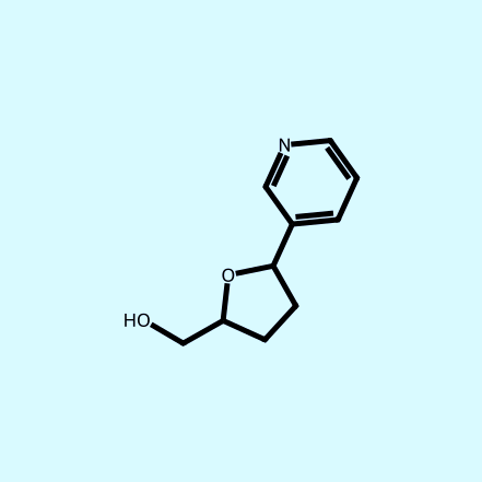 OCC1CCC(c2cccnc2)O1